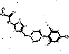 CCNC(=O)Nc1nc(CN2CCN(c3c(F)cc(C#N)cc3F)CC2)co1